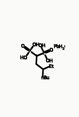 CCCCC(CC)C[C](P(=O)(O)O)P(=O)(O)O.[PbH2]